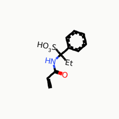 C=CC(=O)NC(CC)(c1ccccc1)S(=O)(=O)O